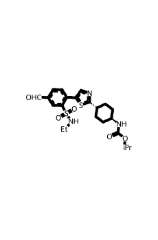 CCNS(=O)(=O)c1cc(C=O)ccc1-c1cnc([C@H]2CC[C@H](NC(=O)OC(C)C)CC2)s1